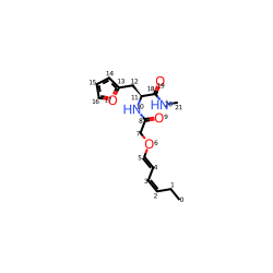 CC/C=C\C=C\OCC(=O)N[C@@H](Cc1ccco1)C(=O)NC